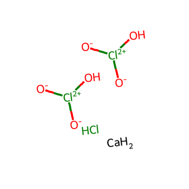 Cl.[CaH2].[O-][Cl+2]([O-])O.[O-][Cl+2]([O-])O